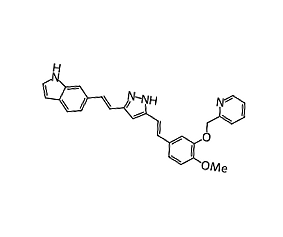 COc1ccc(C=Cc2cc(C=Cc3ccc4cc[nH]c4c3)n[nH]2)cc1OCc1ccccn1